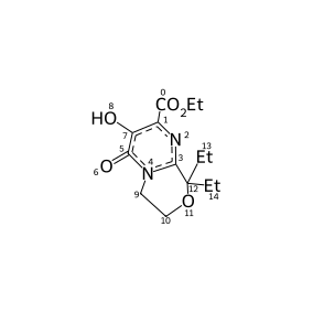 CCOC(=O)c1nc2n(c(=O)c1O)CCOC2(CC)CC